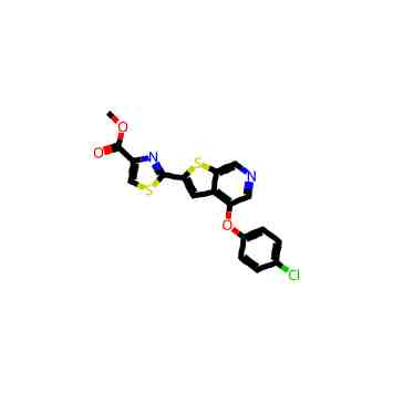 COC(=O)c1csc(-c2cc3c(Oc4ccc(Cl)cc4)cncc3s2)n1